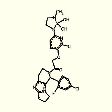 CN1CCN(c2ccc(OCC(=O)N3CCc4nc5n(c4C3c3ccc(Cl)cc3F)CCS5)c(Cl)n2)S1(O)O